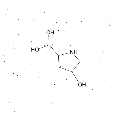 OC1CNC(C(O)O)C1